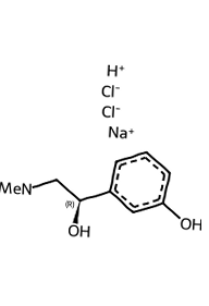 CNC[C@H](O)c1cccc(O)c1.[Cl-].[Cl-].[H+].[Na+]